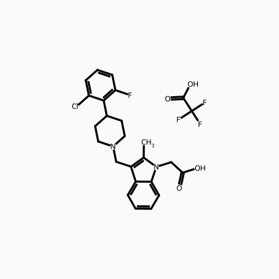 Cc1c(CN2CCC(c3c(F)cccc3Cl)CC2)c2ccccc2n1CC(=O)O.O=C(O)C(F)(F)F